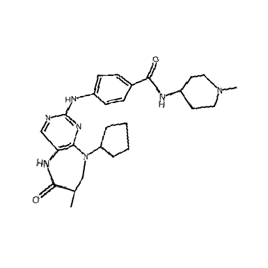 CC1CN(C2CCCC2)c2nc(Nc3ccc(C(=O)NC4CCN(C)CC4)cc3)ncc2NC1=O